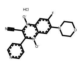 Cl.N#Cc1c(-c2ccncc2)[n+]([O-])c2cc(N3CCOCC3)c(F)cc2[n+]1[O-]